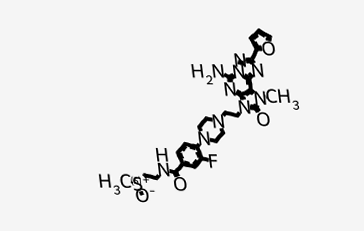 Cn1c(=O)n(CCN2CCN(c3ccc(C(=O)NCC[S@@+](C)[O-])cc3F)CC2)c2nc(N)n3nc(-c4ccco4)nc3c21